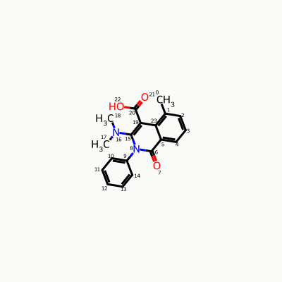 Cc1cccc2c(=O)n(-c3ccccc3)c(N(C)C)c(C(=O)O)c12